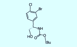 CC(C)(C)OC(=O)N[C@H](CO)c1ccc(Cl)c(Br)c1